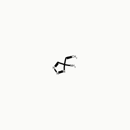 C=CC1(N)C=NN=N1